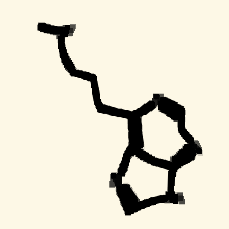 CNCCCc1ncnc2[nH]cnc12